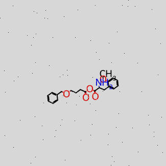 COc1ccccc1C[C@H](N)C(=O)OC(=O)CCCOCc1ccccc1